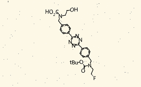 CC(C)(C)OC(=O)N(CCF)Cc1ccc(-c2nnc(-c3ccc(CN(CCO)C(=O)O)cc3)nn2)cc1